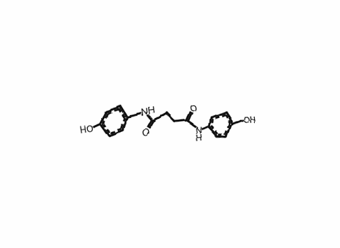 O=C(CCC(=O)Nc1ccc(O)cc1)Nc1ccc(O)cc1